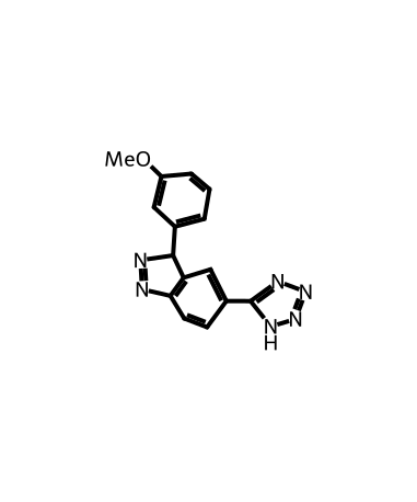 COc1cccc(C2N=Nc3ccc(-c4nnn[nH]4)cc32)c1